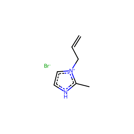 C=CC[n+]1cc[nH]c1C.[Br-]